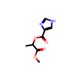 COC(=O)C(C)OC(=O)c1c[nH]cn1